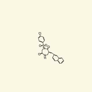 O=C1CN(S(=O)(=O)c2ccc(Cl)cc2)C(=O)/C(=C/c2ccc3ccccc3c2)CN1